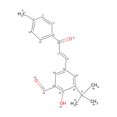 Cc1ccc(C(=O)C=Cc2cc(C=O)c(O)c(C(C)(C)C)c2)cc1